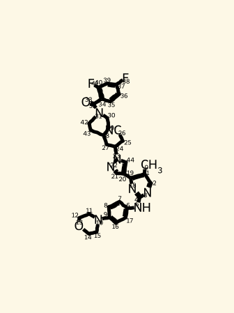 Cc1cnc(Nc2ccc(N3CCOCC3)cc2)nc1-c1cnn(C(CC#N)CC2CCN(C(=O)c3ccc(F)cc3F)CC2)c1